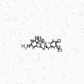 CCOc1cc(CN2CCC(C3([N+](=O)[O-])C=CC(N)=NC3N)CC2)ccc1Cl